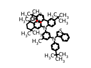 Cc1cc(N(c2ccc3c(c2)C(C)(C)CCC3(C)C)c2ccc(C(C)(C)C)cc2-c2ccc(C(C)(C)C)cc2)cc(N(c2ccc(C(C)(C)C)cc2)c2csc3ccccc23)c1